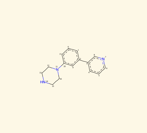 [c]1cc(-c2cccnc2)cc(N2CCNCC2)c1